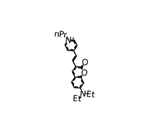 CCC[n+]1ccc(/C=C/c2cc3ccc(N(CC)CC)cc3oc2=O)cc1